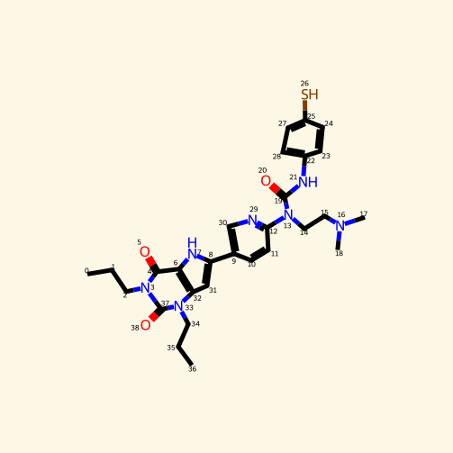 CCCn1c(=O)c2[nH]c(-c3ccc(N(CCN(C)C)C(=O)Nc4ccc(S)cc4)nc3)cc2n(CCC)c1=O